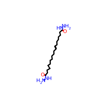 NNC(=O)CCCCCCC=CCCCCCCCCCCC(=O)NN